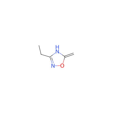 C=C1NC(CC)=NO1